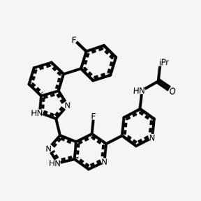 CC(C)C(=O)Nc1cncc(-c2ncc3[nH]nc(-c4nc5c(-c6ccccc6F)cccc5[nH]4)c3c2F)c1